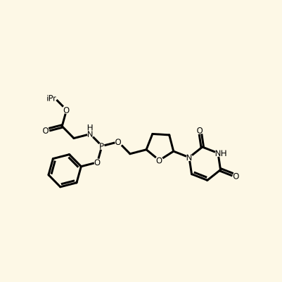 CC(C)OC(=O)CNP(OCC1CCC(n2ccc(=O)[nH]c2=O)O1)Oc1ccccc1